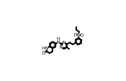 CCCS(=O)(=O)c1cccc(CCc2nc(Nc3ccc4c(c3)CCC(=O)N4)ncc2C)c1